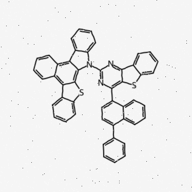 c1ccc(-c2ccc(-c3nc(-n4c5ccccc5c5c6ccccc6c6c7ccccc7sc6c54)nc4c3sc3ccccc34)c3ccccc23)cc1